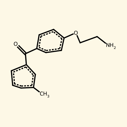 Cc1cccc(C(=O)c2ccc(OCCN)cc2)c1